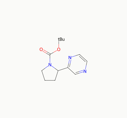 CC(C)(C)OC(=O)N1CCCC1c1cnccn1